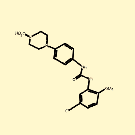 COc1ccc(Cl)cc1NC(=O)Nc1ccc(N2CCN(C(=O)O)CC2)cc1